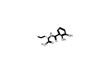 CCC[C@H](NC(=O)c1cccc(O)c1O)C(N)=O